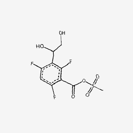 CS(=O)(=O)OC(=O)c1c(F)cc(F)c(C(O)CO)c1F